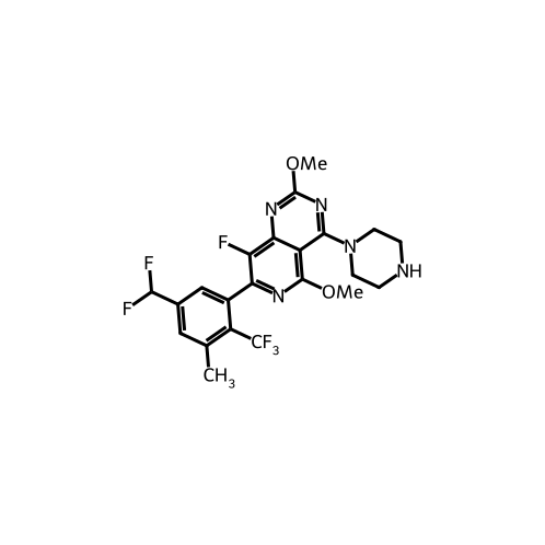 COc1nc(N2CCNCC2)c2c(OC)nc(-c3cc(C(F)F)cc(C)c3C(F)(F)F)c(F)c2n1